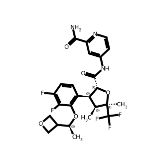 C[C@H](Oc1c([C@H]2[C@H](C(=O)Nc3ccnc(C(N)=O)c3)O[C@@](C)(C(F)(F)F)[C@H]2C)ccc(F)c1F)C1COC1